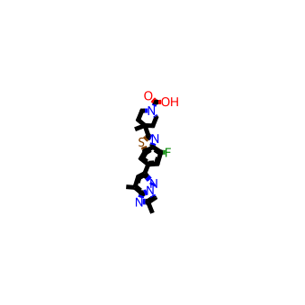 Cc1cn2nc(-c3cc(F)c4nc(C5(C)CCN(C(=O)O)CC5)sc4c3)cc(C)c2n1